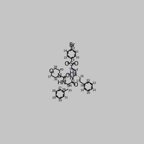 O=C(N[C@H](/C=C/S(=O)(=O)c1ccc(Br)cc1)CCc1ccccc1)[C@H](Cc1ccccc1)NC(=O)N1CCOCC1